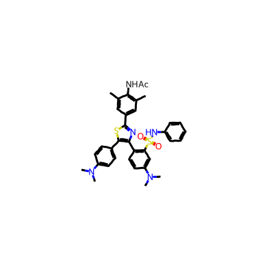 CC(=O)Nc1c(C)cc(-c2nc(-c3ccc(N(C)C)cc3S(=O)(=O)Nc3ccccc3)c(-c3ccc(N(C)C)cc3)s2)cc1C